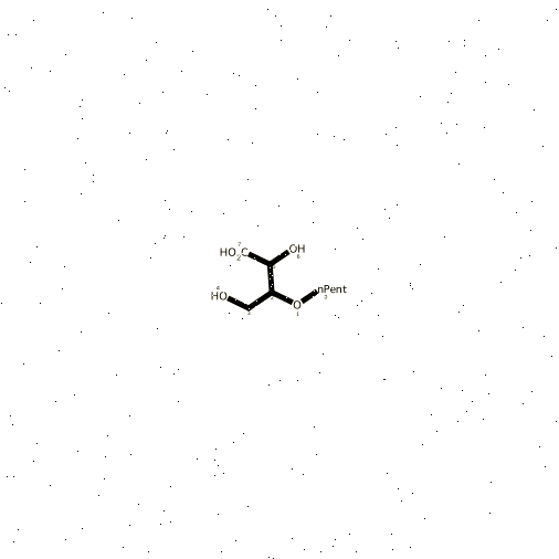 CCCCCOC(CO)C(O)C(=O)O